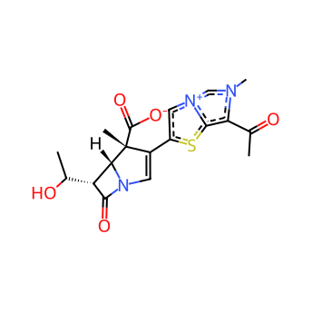 CC(=O)c1c2sc(C3=CN4C(=O)[C@H](C(C)O)[C@@H]4[C@]3(C)C(=O)[O-])c[n+]2cn1C